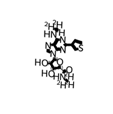 [2H]C([2H])([2H])NC(=O)[C@H]1O[C@@H](n2cnc3c(NC([2H])([2H])[2H])nc(-c4ccsc4)nc32)[C@H](O)[C@@H]1O